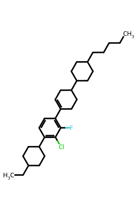 CCCCCC1CCC(C2CC=C(c3ccc(C4CCC(CC)CC4)c(Cl)c3F)CC2)CC1